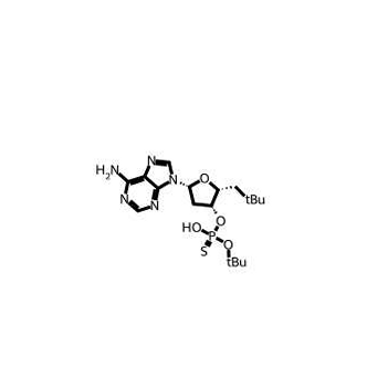 CC(C)(C)C[C@H]1O[C@@H](n2cnc3c(N)ncnc32)C[C@H]1OP(O)(=S)OC(C)(C)C